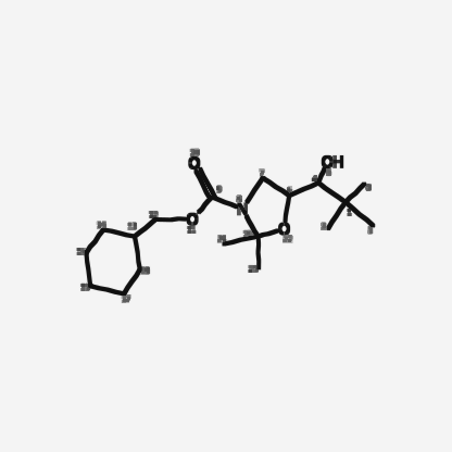 CC(C)(C)C(O)C1CN(C(=O)OCC2CCCCC2)C(C)(C)O1